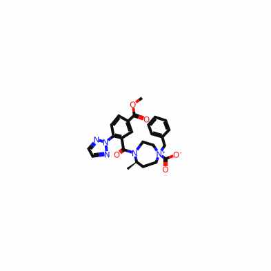 COC(=O)c1ccc(-n2nccn2)c(C(=O)N2CC[N+](Cc3ccccc3)(C(=O)[O-])CC[C@H]2C)c1